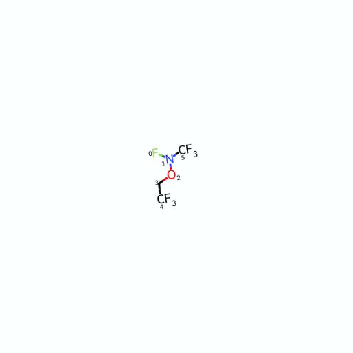 FN(OCC(F)(F)F)C(F)(F)F